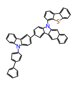 c1ccc(-c2ccc(-n3c4ccccc4c4cc(-c5ccc6c(c5)c5cc7ccccc7cc5n6-c5cccc6c5sc5ccccc56)ccc43)cc2)cc1